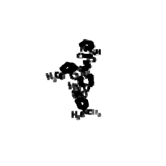 COc1ccccc1OC1C(NS(=O)(=O)c2ccc(N(C)C)cc2)OCCN1OCCOC(=O)Nc1ccccn1